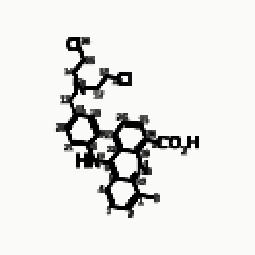 Cc1cccc2c(Nc3ccc(CN(CCCl)CCCl)cc3)c3cccc(C(=O)O)c3nc12